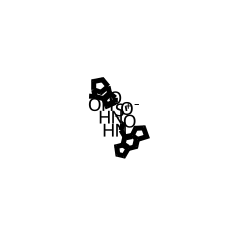 CC1(O)c2cc([S+]([O-])NC(=O)Nc3c4c(cc5c3CCC5)CCC4)oc2C2CCC1C2